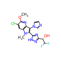 COc1nc2c(-n3ccnc3)c(-c3nc([C@H](O)C(F)F)n[nH]3)n(C)c2cc1Cl